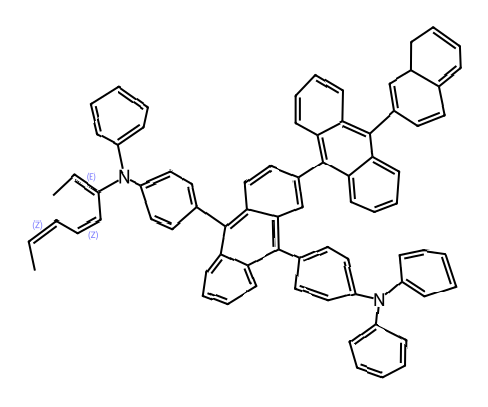 C\C=C/C=C\C(=C/C)N(c1ccccc1)c1ccc(-c2c3ccccc3c(-c3ccc(N(c4ccccc4)c4ccccc4)cc3)c3cc(-c4c5ccccc5c(C5=CC6CC=CC=C6C=C5)c5ccccc45)ccc23)cc1